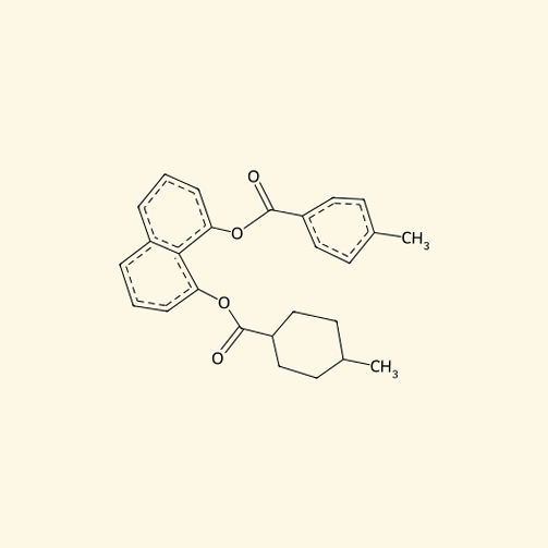 Cc1ccc(C(=O)Oc2cccc3cccc(OC(=O)C4CCC(C)CC4)c23)cc1